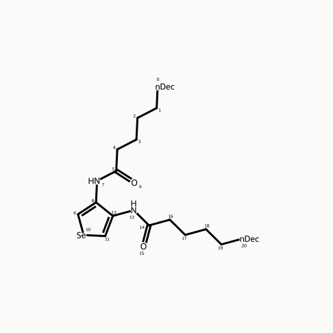 CCCCCCCCCCCCCCC(=O)Nc1c[se]cc1NC(=O)CCCCCCCCCCCCCC